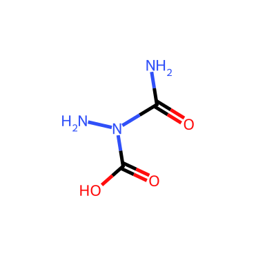 NC(=O)N(N)C(=O)O